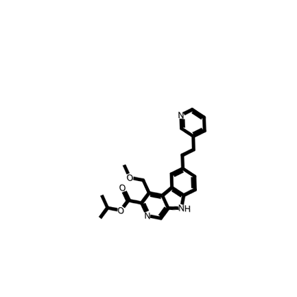 COCc1c(C(=O)OC(C)C)ncc2[nH]c3ccc(CCc4cccnc4)cc3c12